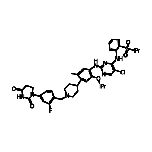 Cc1cc(Nc2ncc(Cl)c(Nc3ccccc3S(=O)(=O)C(C)C)n2)c(OC(C)C)cc1C1CCN(Cc2ccc(N3CCC(=O)NC3=O)cc2F)CC1